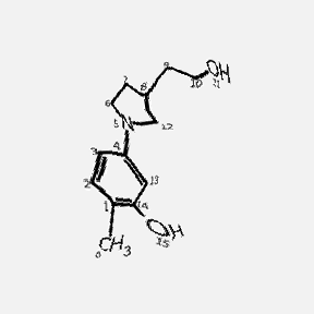 Cc1ccc(N2CCC(CCO)C2)cc1O